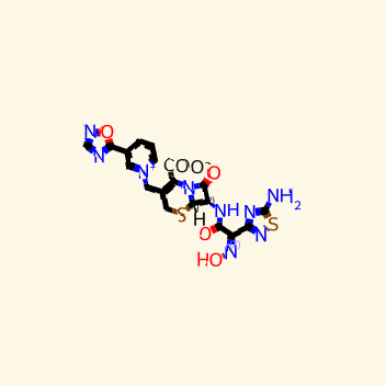 Nc1nc(/C(=N/O)C(=O)N[C@@H]2C(=O)N3C(C(=O)[O-])=C(C[n+]4cccc(-c5ncno5)c4)CS[C@H]23)ns1